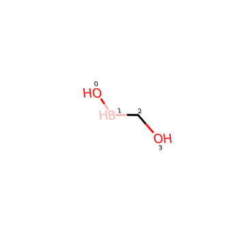 OBCO